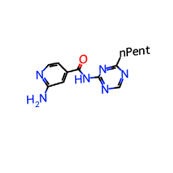 CCCCCc1ncnc(NC(=O)c2ccnc(N)c2)n1